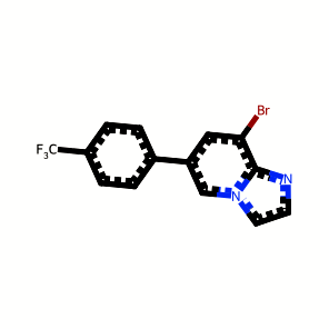 FC(F)(F)c1ccc(-c2cc(Br)c3nccn3c2)cc1